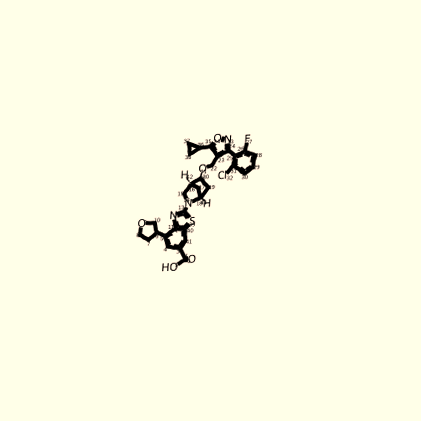 O=C(O)c1cc(C2CCOC2)c2nc(N3C[C@@H]4C[C@H]3C[C@H]4OCc3c(-c4c(F)cccc4Cl)noc3C3CC3)sc2c1